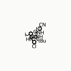 CC(C)(C)C[C@@H]1N[C@@H](C(=O)Nc2ccc(C#N)cn2)[C@H](c2cccc(CI)c2F)[C@]12C(=O)Nc1cc(Cl)ccc12